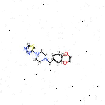 C1=COc2cc(CN3CCN(c4nncs4)CC3)ccc2O1